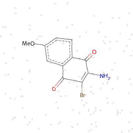 COc1ccc2c(c1)C(=O)C(Br)=C(N)C2=O